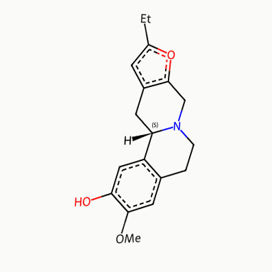 CCc1cc2c(o1)CN1CCc3cc(OC)c(O)cc3[C@@H]1C2